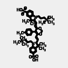 Cc1ccc(C2=C(/C=C/C3=[N+](CCC[N+](C)(C)C)c4ccc(S(=O)(=O)O)cc4C3(C)C)OCO/C2=C\C=C2\N(CCC[N+](C)(C)C)c3ccc(S(=O)(=O)O)cc3C2(C)C)cc1